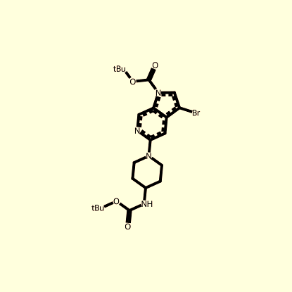 CC(C)(C)OC(=O)NC1CCN(c2cc3c(Br)cn(C(=O)OC(C)(C)C)c3cn2)CC1